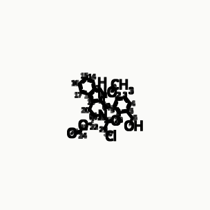 COc1ccc(CO)cc1[C@H]1c2[nH]c3ccccc3c2C[C@@H](COC=O)N1C(=O)CCl